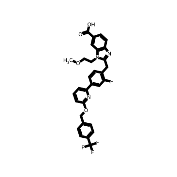 COCCn1c(Cc2ccc(-c3cccc(OCc4ccc(C(F)(F)F)cc4)n3)cc2F)nc2ccc(C(=O)O)cc21